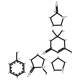 C1CCOC1.CC1=CC(=O)CC(C)(C)C1.CN1CCCC1=O.Cc1ccccc1.O=C1CCCO1